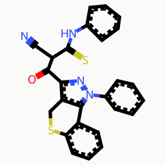 N#CC(C(=O)c1nn(-c2ccccc2)c2c1CSc1ccccc1-2)C(=S)Nc1ccccc1